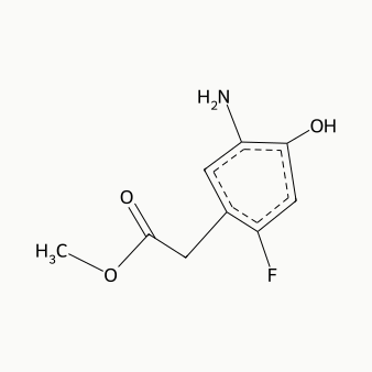 COC(=O)Cc1cc(N)c(O)cc1F